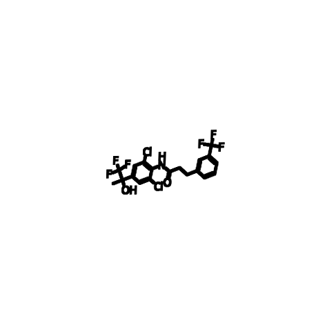 CC(O)(c1cc(Cl)c(NC(=O)CCc2cccc(C(F)(F)F)c2)c(Cl)c1)C(F)(F)F